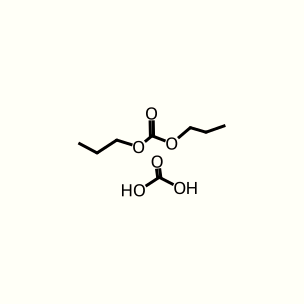 CCCOC(=O)OCCC.O=C(O)O